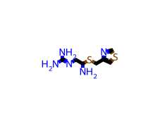 NC(N)=NCC(N)SCc1cscn1